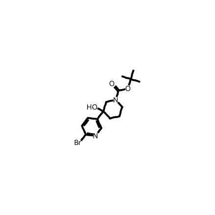 CC(C)(C)OC(=O)N1CCCC(O)(c2ccc(Br)nc2)C1